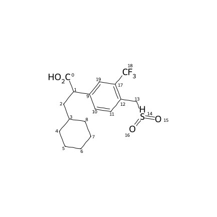 O=C(O)C(CC1CCCCC1)c1ccc(C[SH](=O)=O)c(C(F)(F)F)c1